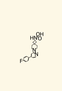 O=C(O)NC1CC2(CCN(c3cc(-c4ccc(F)cc4)ccn3)CC2)C1